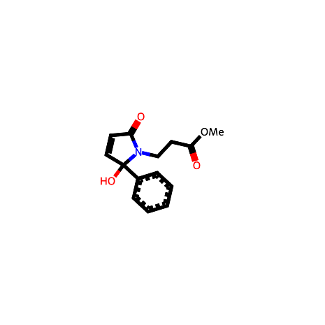 COC(=O)CCN1C(=O)C=CC1(O)c1ccccc1